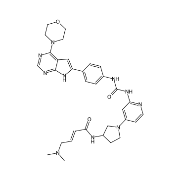 CN(C)C/C=C/C(=O)NC1CCN(c2ccnc(NC(=O)Nc3ccc(-c4cc5c(N6CCOCC6)ncnc5[nH]4)cc3)c2)C1